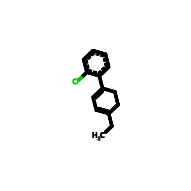 CCC1=CC=C(c2ccccc2Cl)CC1